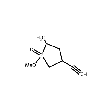 C#CC1CC(C)P(=O)(OC)C1